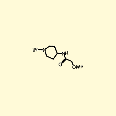 COCC(=O)NC1CCN(C(C)C)CC1